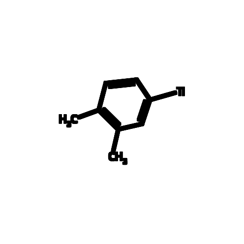 Cc1cc[c]([Ti])cc1C